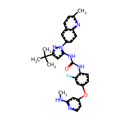 CNc1cc(Oc2ccc(NC(=O)Nc3cc(C(C)(C)C)nn3-c3ccc4nc(C)ccc4c3)c(F)c2)ccn1